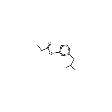 CCC(=O)Oc1cccc(CC(C)C)c1